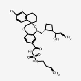 C=CCCNS(=O)(=O)NC(=O)c1ccc2c(c1)N(C[C@@H]1CC[C@H]1C(O)C=C)C[C@@]1(CCCc3cc(Cl)ccc31)CO2